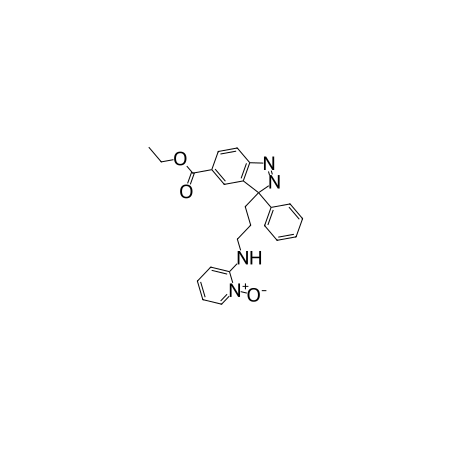 CCOC(=O)c1ccc2c(c1)C(CCCNc1cccc[n+]1[O-])(c1ccccc1)N=N2